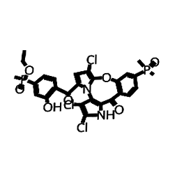 CCOP(C)(=O)c1ccc(C(=O)c2cc(Cl)c3n2-c2c([nH]c(Cl)c2Cl)C(=O)c2ccc(P(C)(C)=O)cc2O3)c(O)c1